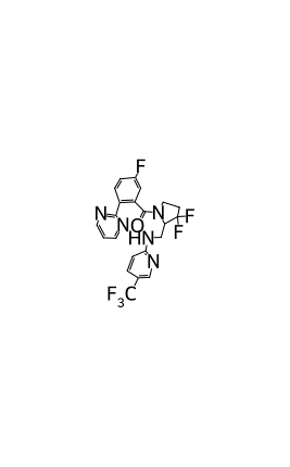 O=C(c1cc(F)ccc1-c1ncccn1)N1CCC(F)(F)C1CNc1ccc(C(F)(F)F)cn1